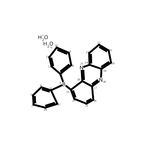 O.O.c1ccc(B(c2ccccc2)c2cccc3nc4ccccc4nc23)cc1